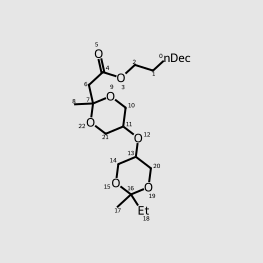 CCCCCCCCCCCCOC(=O)CC1(C)OCC(OC2COC(C)(CC)OC2)CO1